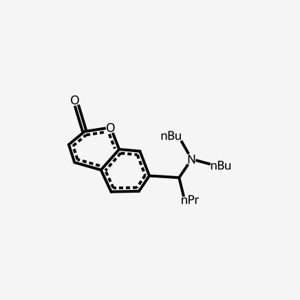 CCCCN(CCCC)C(CCC)c1ccc2ccc(=O)oc2c1